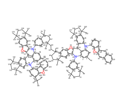 Cc1cc2c3c(c1)N(c1cccc4c1oc1cc5ccccc5cc14)c1cc4c(cc1B3c1oc3cc5c(cc3c1N2c1ccc2c(c1)C(C)(C)CCC2(C)C)C(C)(C)CCC5(C)CCC1(C)CCC(C)(C)c2ccc(N3c5cc(C)cc6c5B(c5cc7c(cc5N6c5ccc(C(C)(C)C)c6oc8ccccc8c56)C(C)(C)CCC7(C)C)c5oc6cc7c(cc6c53)C(C)(C)CCC7(C)C)cc21)C(C)(C)CCC4(C)C